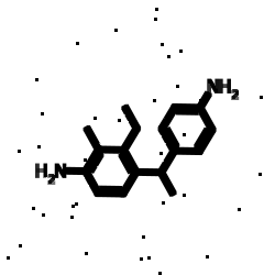 CCc1c(C(C)c2ccc(N)cc2)ccc(N)c1C